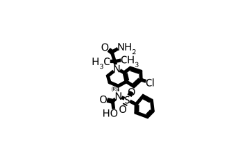 CC(C)(C(N)=O)N1CC[C@@H](N(C(=O)O)S(=O)(=O)c2ccccc2)c2cc(Cl)ccc21